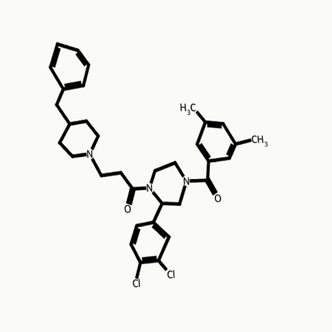 Cc1cc(C)cc(C(=O)N2CCN(C(=O)CCN3CCC(Cc4ccccc4)CC3)C(c3ccc(Cl)c(Cl)c3)C2)c1